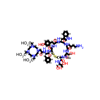 CC(O)[C@H](CO)NC(=O)[C@H]1CSSC[C@@H](NC(=O)[C@H](Cc2ccccc2)NC(=O)CN2CCN(CC(=O)O)CCN(CC(=O)O)CCN(CC(=O)O)CC2)C(=O)NC(Cc2ccc(O)cc2)C(=O)N[C@@H](CC2=CNC3C=CC=CC23)C(=O)N[C@H](CCCCN)C(=O)N[C@@H]([C@@H](C)O)C(=O)N1